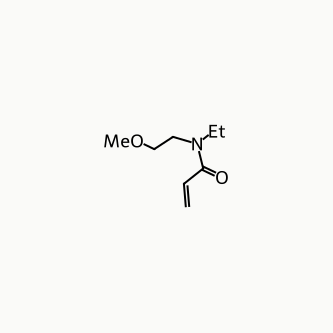 C=CC(=O)N(CC)CCOC